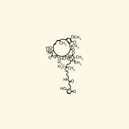 COc1cc2cc(c1Cl)N(C)C(=O)C[C@H](OC(=O)[C@H](C)N(C)C(=O)CCC(C)(C)SSCCNC(=O)CCN1C(=O)C=CC1O)[C@]1(C)O[C@H]1[C@H](C)[C@@H]1C[C@@](O)(NC(=O)O1)[C@H](O)/C=C/C=C(\C)C2